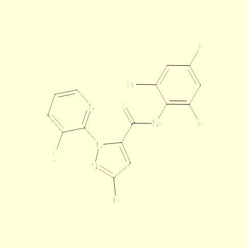 O=C(Nc1c(F)cc(F)cc1Br)c1cc(Br)nn1-c1ncccc1Cl